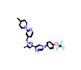 Cc1cc(-c2cn(-c3ccc(OC(F)(F)F)cc3)cn2)nn1Cc1ccnc(N2CCC(C)CC2)c1